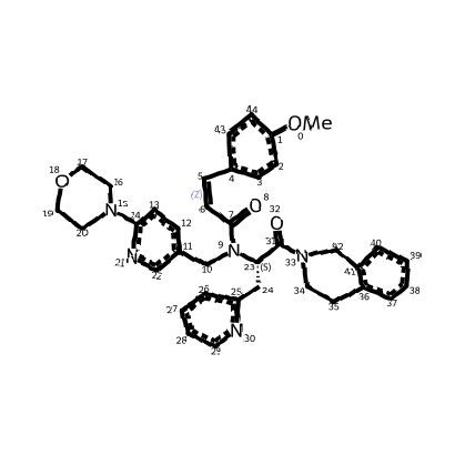 COc1ccc(/C=C\C(=O)N(Cc2ccc(N3CCOCC3)nc2)[C@@H](Cc2ccccn2)C(=O)N2CCc3ccccc3C2)cc1